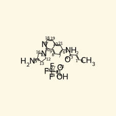 CC=CC(=O)Nc1ccc2c(N3CCC(N)C3)nccc2c1.O=C(O)C(F)(F)F